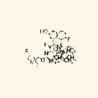 COc1nc(-c2cc(O)cc3ccc(F)c(C#C[Si](C(C)C)(C(C)C)C(C)C)c23)c(F)c2nc(OC[C@@]34CCCN3C[C@H](F)C4)ncc12